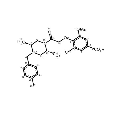 COc1cc(C(=O)O)cc(Cl)c1OCC(=O)N1C[C@H](C)N(Cc2ccc(F)cc2)C[C@H]1C